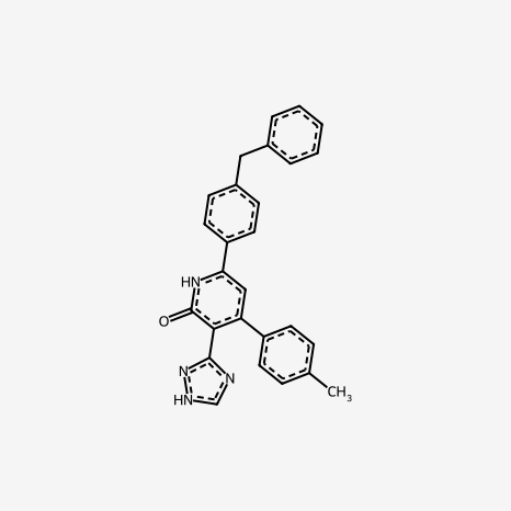 Cc1ccc(-c2cc(-c3ccc(Cc4ccccc4)cc3)[nH]c(=O)c2-c2nc[nH]n2)cc1